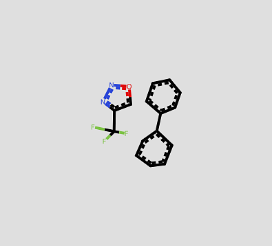 FC(F)(F)c1conn1.c1ccc(-c2ccccc2)cc1